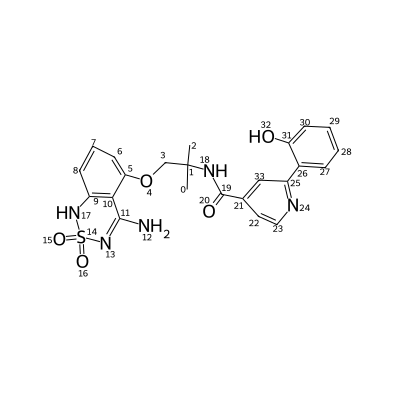 CC(C)(COc1cccc2c1C(N)=NS(=O)(=O)N2)NC(=O)c1ccnc(-c2ccccc2O)c1